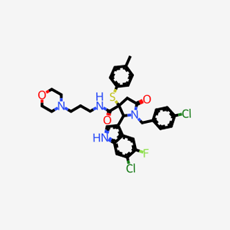 Cc1ccc(SC2(C(=O)NCCCN3CCOCC3)CC(=O)N(Cc3ccc(Cl)cc3)C2c2c[nH]c3cc(Cl)c(F)cc23)cc1